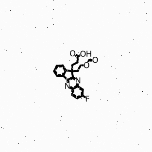 O=COCCC1(CCC(=O)O)c2ccccc2-c2nc3ccc(F)cc3nc21